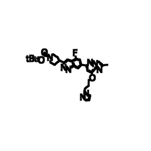 Cc1cn2nc(-c3cc(F)c4cc(C5CCN(C(=O)OC(C)(C)C)CC5)nnc4c3)cc(OCCCn3cccn3)c2n1